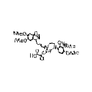 COc1cc2onc(CCCN3CCN(c4ccc(OC)c(OC)c4OC)CC3)c2cc1OC.O=C(O)C(=O)O